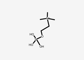 C[N+](C)(C)CCO[Si](O)(O)O